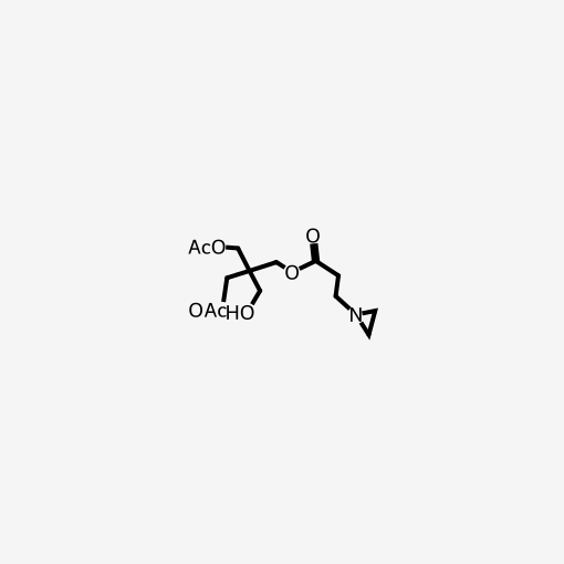 CC(=O)OCC(CO)(COC(C)=O)COC(=O)CCN1CC1